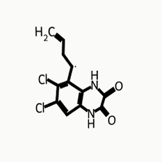 C=CC[CH]c1c(Cl)c(Cl)cc2[nH]c(=O)c(=O)[nH]c12